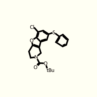 CC(C)(C)OC(=O)N1CCc2oc3c(Cl)cc(Sc4ccccc4)cc3c2C1